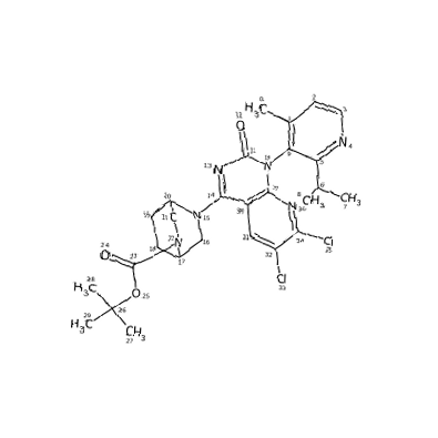 Cc1ccnc(C(C)C)c1-n1c(=O)nc(N2CC3CCC2CN3C(=O)OC(C)(C)C)c2cc(Cl)c(Cl)nc21